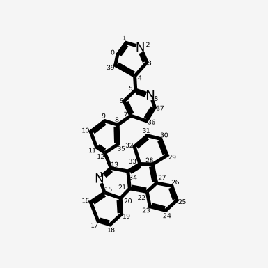 c1cncc(-c2cc(-c3cccc(-c4nc5ccccc5c5c6ccccc6c6ccccc6c45)c3)ccn2)c1